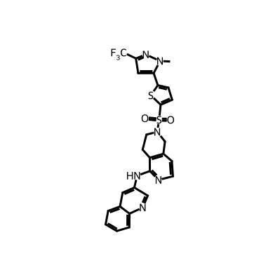 Cn1nc(C(F)(F)F)cc1-c1ccc(S(=O)(=O)N2CCc3c(ccnc3Nc3cnc4ccccc4c3)C2)s1